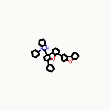 c1ccc(-c2ccc(-c3nc4ccccc4n3-c3ccccc3)c3c2oc2c(-c4ccc5oc6ccccc6c5c4)cccc23)cc1